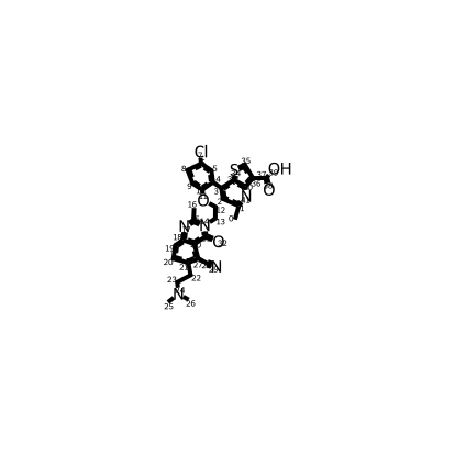 Cc1cc(-c2cc(Cl)ccc2OCCn2c(C)nc3ccc(CCN(C)C)c(C#N)c3c2=O)c2scc(C(=O)O)c2n1